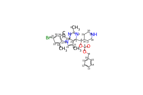 Cc1nc(C(OC(=O)OCc2ccccc2)C2CCNCC2)c2c(C)cn(-c3c(C)cc(Br)cc3C)c2n1